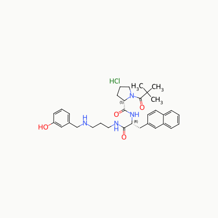 CC(C)(C)C(=O)N1CCC[C@H]1C(=O)N[C@H](Cc1ccc2ccccc2c1)C(=O)NCCCNCc1cccc(O)c1.Cl